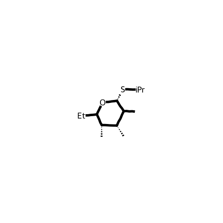 CCC1O[C@H](SC(C)C)C(C)[C@H](C)[C@@H]1C